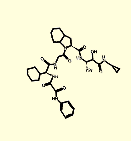 CCC[C@H](NC(=O)[C@@H]1CC2CCCCC2N1C(=O)CNC(=O)[C@@H](NC(=O)C(=O)Nc1ccccc1)C1CCCCC1)C(O)C(=O)NC1CC1